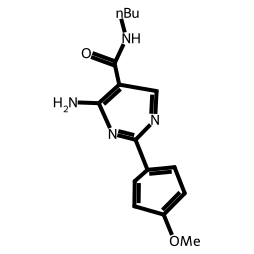 CCCCNC(=O)c1cnc(-c2ccc(OC)cc2)nc1N